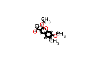 CCOC(=O)C(Cc1ccc(OC)c(C)c1)C(C)=O